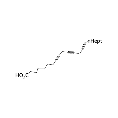 CCCCCCCC#CCC#CCC#CCCCCCCC(=O)O